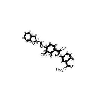 O=C(O)C(=O)c1cc(NC(=O)c2ccc(OC[C@@H]3Cc4ccccc4O3)c(Cl)c2F)ccc1F